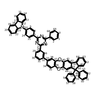 c1ccc(-c2nc(-c3ccc(-n4c5ccccc5c5ccccc54)cc3)nc(-c3cccc(-c4ccc5c(c4)Oc4cc6c(cc4O5)C(c4ccccc4)(c4ccccc4)c4ccccc4-6)c3)n2)cc1